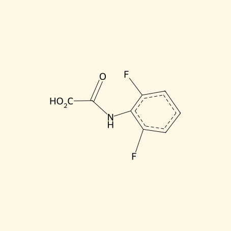 O=C(O)C(=O)Nc1c(F)cccc1F